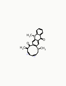 C=C1/C=C\C=C/CN(C)c2cc3c(=O)c4ccccc4n(C)c3cc2C1=O